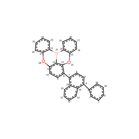 c1ccc(-c2ccc(-c3ccc4c5c3Oc3ccccc3B5c3ccccc3O4)c3ccccc23)cc1